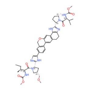 CC[C@H](C)[C@H](NC(=O)OC)C(=O)N1C[C@@H](COC)C[C@H]1c1ncc(-c2ccc3c(c2)COc2cc4c(cc2-3)CCc2nc([C@@H]3CC[C@H](C)N3C(=O)[C@@H](NC(=O)OC)C(C)C)[nH]c2-4)[nH]1